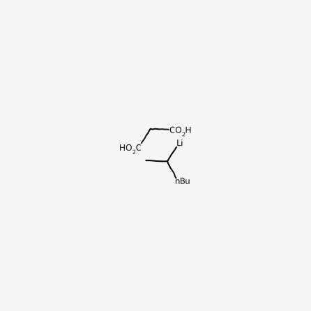 O=C(O)CC(=O)O.[Li][CH](C)CCCC